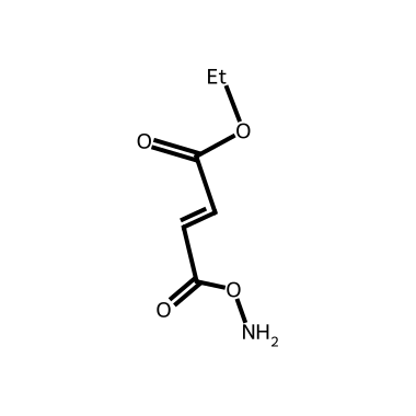 CCOC(=O)/C=C/C(=O)ON